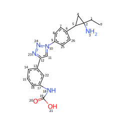 CCC1(N)CC1c1ccc(-n2cc(-c3cccc(NC(=O)O)c3)nn2)cc1